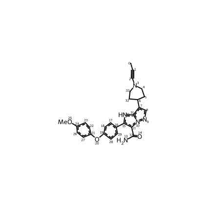 CC#CN1CCC(c2cnn3c(C(N)=O)c(-c4ccc(Oc5ccc(OC)cc5)cc4)[nH]c23)CC1